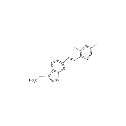 Cc1ccc(C=Cc2ccc3c(CC(=O)O)csc3c2)c(C)n1